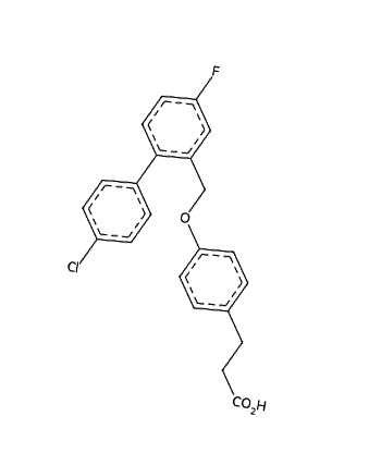 O=C(O)CCc1ccc(OCc2cc(F)ccc2-c2ccc(Cl)cc2)cc1